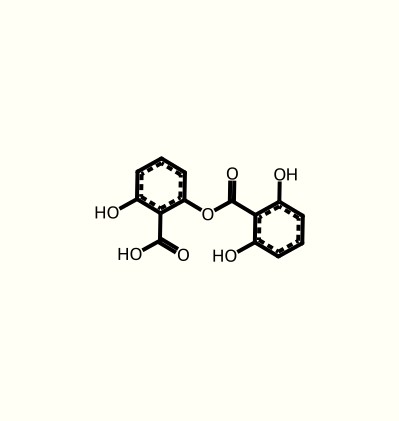 O=C(Oc1cccc(O)c1C(=O)O)c1c(O)cccc1O